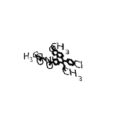 CCCC(c1ccc(C(=O)NCCC(=O)OCC)cc1)C(c1ccc(Cl)cc1)c1ccc2cc(OC)ccc2c1